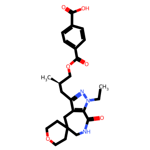 CCn1nc(C[C@@H](C)COC(=O)c2ccc(C(=O)O)cc2)c2c1C(=O)NCC1(CCOCC1)C2